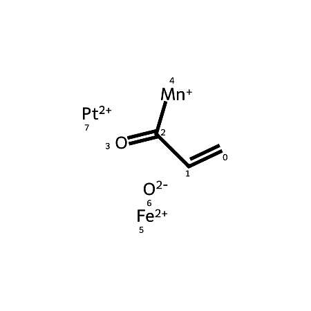 C=C[C](=O)[Mn+].[Fe+2].[O-2].[Pt+2]